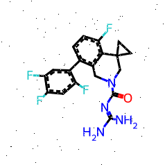 NC(N)=NC(=O)N1Cc2c(-c3cc(F)c(F)cc3F)ccc(F)c2C2(CC2)C1